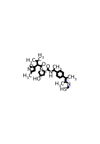 CC(/N=C\S)=C(/C)c1ccc(C(C)NC(=O)[C@@H]2C[C@@H](O)CN2C(=O)C(c2cc(C)no2)C(C)C)cc1